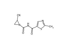 Cc1ncc(C(=O)NC(=O)N2CC2C#N)s1